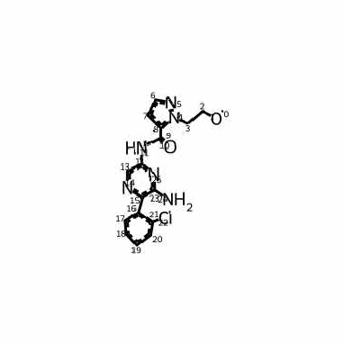 COCCn1nccc1C(=O)Nc1cnc(-c2ccccc2Cl)c(N)n1